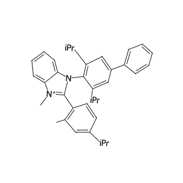 Cc1cc(C(C)C)ccc1-c1n(-c2c(C(C)C)cc(-c3ccccc3)cc2C(C)C)c2ccccc2[n+]1C